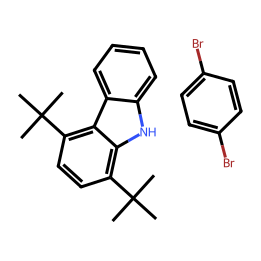 Brc1ccc(Br)cc1.CC(C)(C)c1ccc(C(C)(C)C)c2c1[nH]c1ccccc12